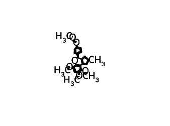 COCOc1ccc(C(=O)[C@H]2C[C@@H](C)C[C@H]2c2cc(OC)cc(OC)c2OC)cc1